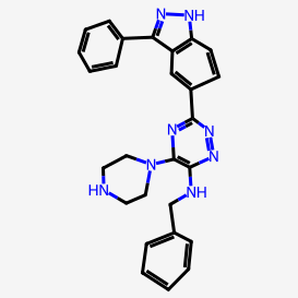 c1ccc(CNc2nnc(-c3ccc4[nH]nc(-c5ccccc5)c4c3)nc2N2CCNCC2)cc1